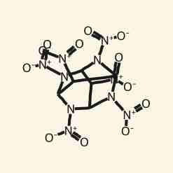 O=[N+]([O-])C1C2N([N+](=O)[O-])C3C([N+](=O)[O-])C(N2[N+](=O)[O-])N([N+](=O)[O-])C1N3[N+](=O)[O-]